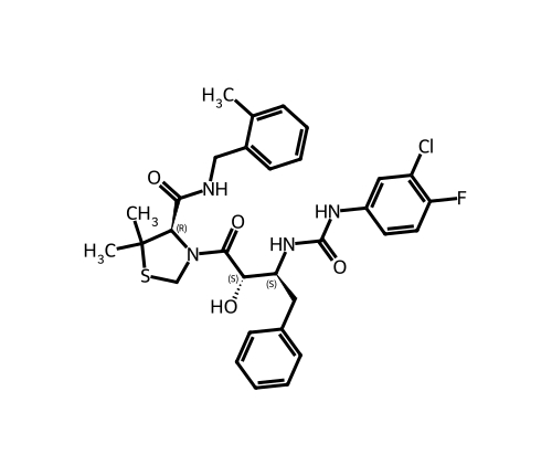 Cc1ccccc1CNC(=O)[C@H]1N(C(=O)[C@@H](O)[C@H](Cc2ccccc2)NC(=O)Nc2ccc(F)c(Cl)c2)CSC1(C)C